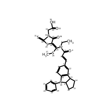 CCN(C(=O)/C=C/c1ccc2c(c1)C1CCCC1N2c1ccccc1)/C(SC)=C1/SC(=S)N(CC(=O)O)C1=O